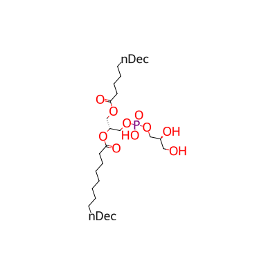 CCCCCCCCCCCCCCCCCC(=O)O[C@H](COC(=O)CCCCCCCCCCCCCC)COP(=O)(O)OC[C@@H](O)CO